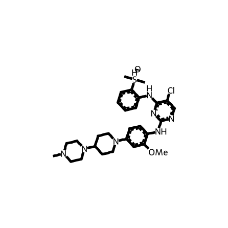 COc1cc(N2CCC(N3CCN(C)CC3)CC2)ccc1Nc1ncc(Cl)c(Nc2ccccc2[SH](C)(C)=O)n1